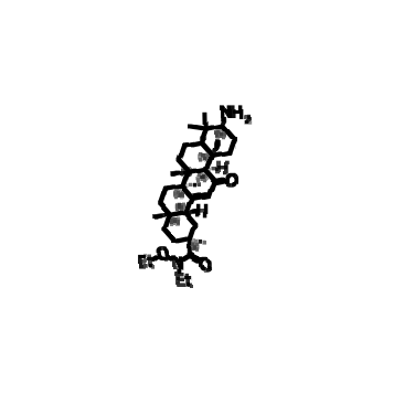 CCON(CC)C(=O)[C@@]1(C)CC[C@]2(C)CC[C@]3(C)C(=CC(=O)[C@@H]4[C@@]5(C)CC[C@H](N)C(C)(C)C5CC[C@]43C)[C@@H]2C1